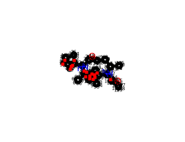 c1ccc(-c2cc(-c3cccc(-c4ccc5c(c4)oc4ccc(-c6cc(-c7ccc8c(c7)-c7ccccc7-c7ccccc7C87c8ccccc8-c8ccccc87)nc(-c7cc(-c8ccccc8)cc(-c8ccccc8)c7)n6)cc45)c3)cc(-c3nc(-c4ccc5c(c4)-c4ccccc4-c4ccccc4C54c5ccccc5-c5ccccc54)cc(-c4ccc5c(c4)oc4ccccc45)n3)c2)cc1